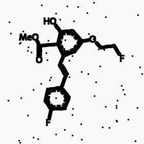 COC(=O)c1c(O)cc(OCCF)cc1C=Cc1ccc(F)cc1